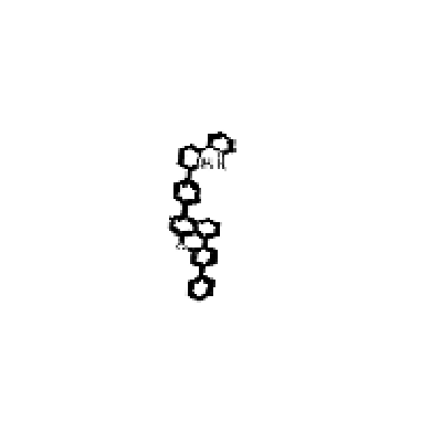 C1=CNC(C2=CC=CC(c3ccc(-c4ccc5c6c(cccc46)-c4ccc(-c6ccccc6)cc4O5)cc3)N2)C=C1